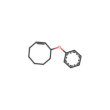 C1=CC(Oc2ccccc2)CCCCC1